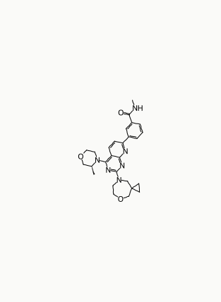 CNC(=O)c1cccc(-c2ccc3c(N4CCOC[C@@H]4C)nc(N4CCOCC5(CC5)C4)nc3n2)c1